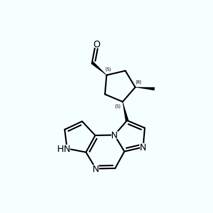 C[C@@H]1C[C@H](C=O)C[C@@H]1c1cnc2cnc3[nH]ccc3n12